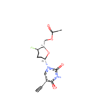 C#Cc1cn([C@@H]2CC(F)[C@H](COC(C)=O)O2)c(=O)[nH]c1=O